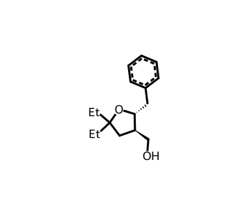 CCC1(CC)C[C@H](CO)[C@@H](Cc2ccccc2)O1